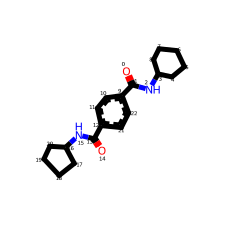 O=C(NC1CCCCC1)c1ccc(C(=O)NC2CCCC2)cc1